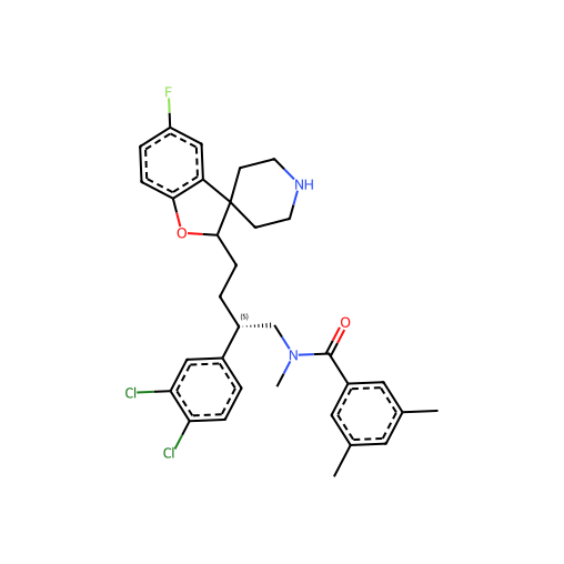 Cc1cc(C)cc(C(=O)N(C)C[C@@H](CCC2Oc3ccc(F)cc3C23CCNCC3)c2ccc(Cl)c(Cl)c2)c1